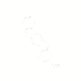 CNc1ccc2c(c1)sc1cc3c(cc12)sc1cc(C)ccc13